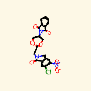 O=C1c2cc(Cl)c([N+](=O)[O-])cc2CN1CC1OCC(N2C(=O)c3ccccc3C2=O)CO1